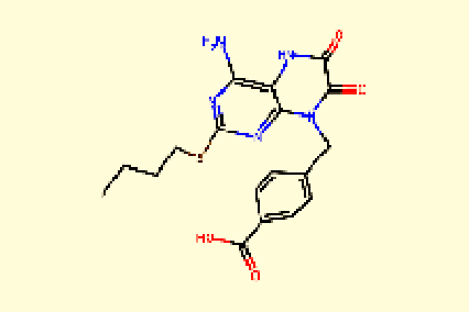 CCCCSc1nc(N)c2[nH]c(=O)c(=O)n(Cc3ccc(C(=O)O)cc3)c2n1